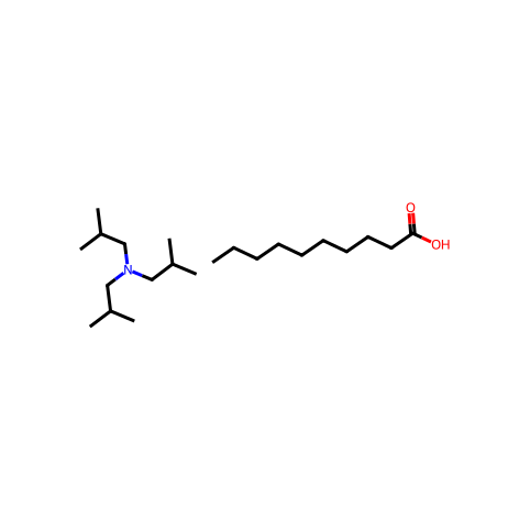 CC(C)CN(CC(C)C)CC(C)C.CCCCCCCCCC(=O)O